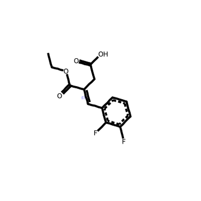 CCOC(=O)/C(=C/c1cccc(F)c1F)CC(=O)O